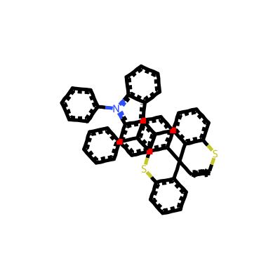 c1ccc(-c2cccc3c2Sc2ccccc2C32c3ccccc3Sc3cccc(-c4cccc5c4c4ccccc4n5-c4ccccc4)c32)cc1